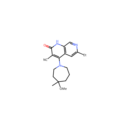 CCc1cc2c(N3CCCC(C)(OC)CC3)c(C#N)c(=O)[nH]c2cn1